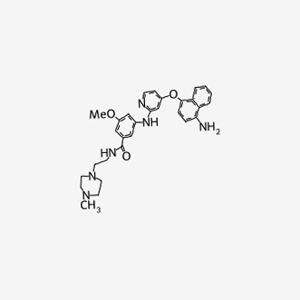 COc1cc(Nc2cc(Oc3ccc(N)c4ccccc34)ccn2)cc(C(=O)NCCN2CCN(C)CC2)c1